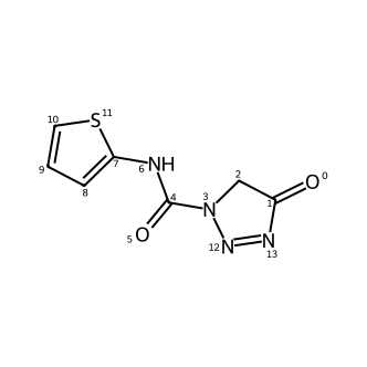 O=C1CN(C(=O)Nc2cccs2)N=N1